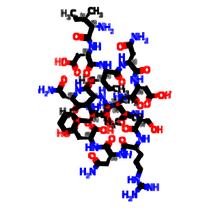 CC[C@H](C)[C@H](N)C(=O)N[C@@H](CC(=O)O)C(=O)N[C@H](C(=O)N[C@@H](CC(N)=O)C(=O)N[C@@H](CC(=O)O)C(=O)N[C@H](C(=O)N[C@H](C(=O)N[C@@H](CC(N)=O)C(=O)N[C@@H](Cc1ccccc1)C(=O)N[C@@H](C)C(=O)N[C@@H](CO)C(=O)N[C@@H](CCCNC(=N)N)C(=O)N[C@@H](CC(N)=O)C(=O)N[C@@H](CC(=O)O)C(=O)O)[C@@H](C)CC)C(C)C)[C@@H](C)CC